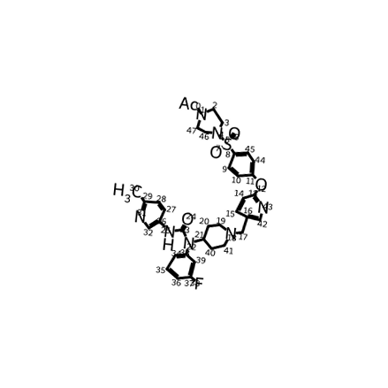 CC(=O)N1CCN(S(=O)(=O)c2ccc(Oc3ccc(CN4CCC(N(C(=O)Nc5ccc(C)nc5)c5cccc(F)c5)CC4)cn3)cc2)CC1